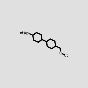 CCCCCCC1CCC(C2CCC(COCC)CC2)CC1